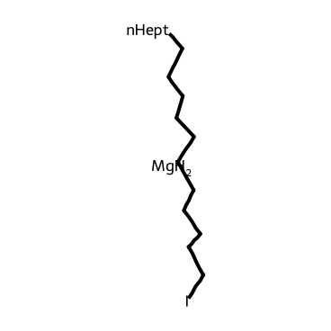 CCCCCCCCCCCCCCCCCCI.[MgH2]